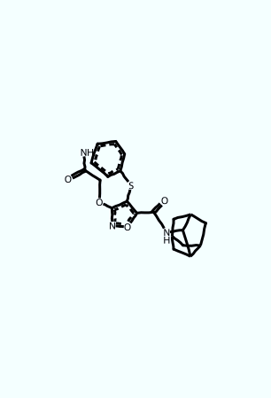 NC(=O)COc1noc(C(=O)NC2C3CC4CC(C3)C2C4)c1Sc1ccccc1